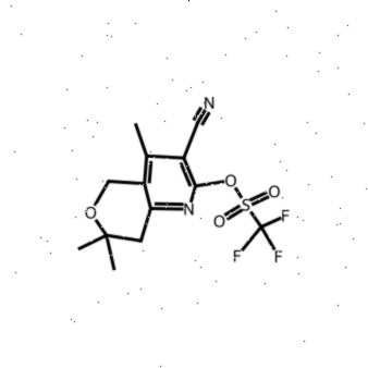 Cc1c(C#N)c(OS(=O)(=O)C(F)(F)F)nc2c1COC(C)(C)C2